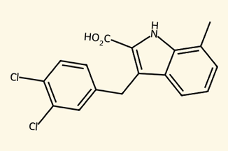 Cc1cccc2c(Cc3ccc(Cl)c(Cl)c3)c(C(=O)O)[nH]c12